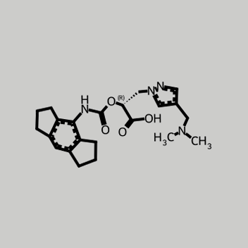 CN(C)Cc1cnn(C[C@@H](OC(=O)Nc2c3c(cc4c2CCC4)CCC3)C(=O)O)c1